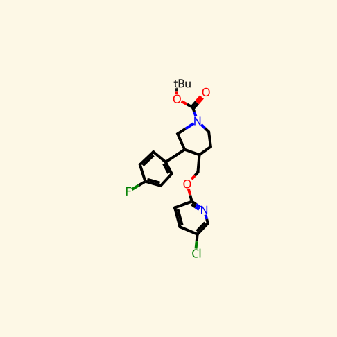 CC(C)(C)OC(=O)N1CCC(COc2ccc(Cl)cn2)C(c2ccc(F)cc2)C1